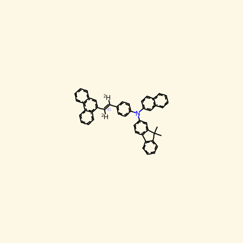 [2H]/C(=C(/[2H])c1cc2ccccc2c2ccccc12)c1ccc(N(c2ccc3c(c2)C(C)(C)c2ccccc2-3)c2ccc3ccccc3c2)cc1